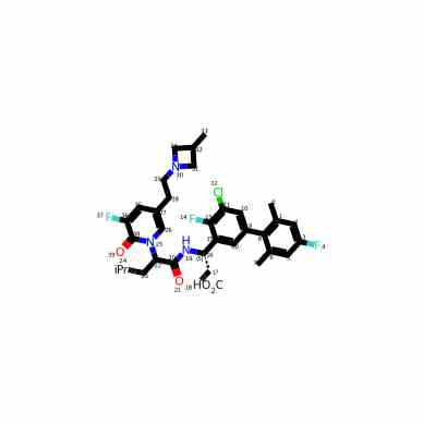 Cc1cc(F)cc(C)c1-c1cc(Cl)c(F)c([C@H](CC(=O)O)NC(=O)C(CC(C)C)n2cc(CCN3CC(C)C3)cc(F)c2=O)c1